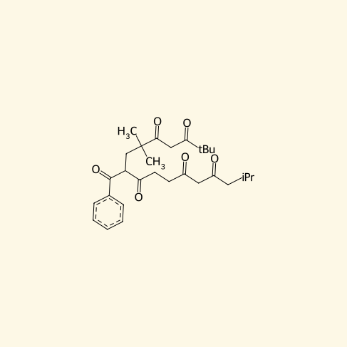 CC(C)CC(=O)CC(=O)CCC(=O)C(CC(C)(C)C(=O)CC(=O)C(C)(C)C)C(=O)c1ccccc1